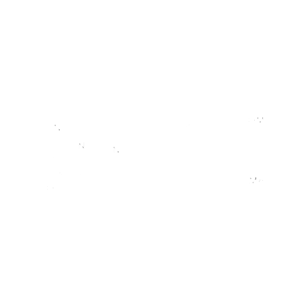 COc1cc(COc2cccc(CN3CCN(c4ncccc4C(=O)OC(C)C)CC3)c2)cc(OC)c1